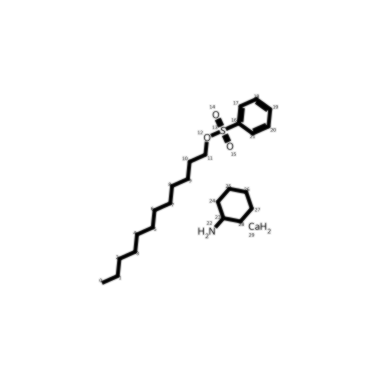 CCCCCCCCCCCCOS(=O)(=O)c1ccccc1.NC1CCCCC1.[CaH2]